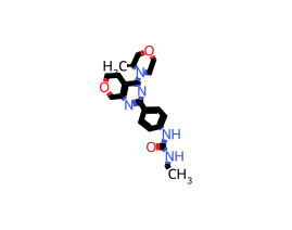 CCNC(=O)Nc1ccc(-c2nc3c(c(N4CCOC[C@@H]4C)n2)CCOC3)cc1